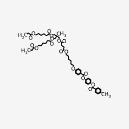 C=CC(=O)OCCCCCC(=O)OCC(C)(COC(=O)CCCCCOC(=O)C=C)COC(=O)CCC(=O)OCCCCCCOc1ccc(C(=O)Oc2ccc(OC(=O)c3ccc(C)cc3)cc2)cc1